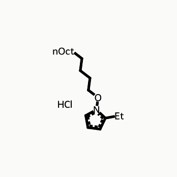 CCCCCCCCCCCCOn1cccc1CC.Cl